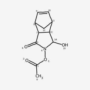 CC(=O)ON1C(=O)C2C3C=CC(C3)C2C1O